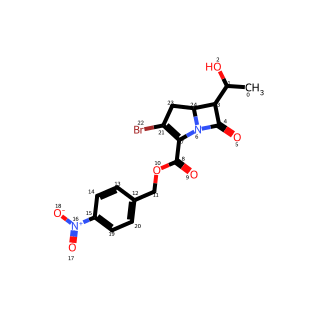 CC(O)C1C(=O)N2C(C(=O)OCc3ccc([N+](=O)[O-])cc3)=C(Br)CC12